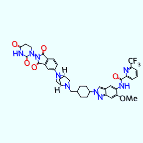 COc1cc2nn(C3CCC(CN4C[C@H]5C[C@@H]4CN5c4ccc5c(c4)C(=O)N(N4CCC(=O)NC4=O)C5=O)CC3)cc2cc1NC(=O)c1cccc(C(F)(F)F)n1